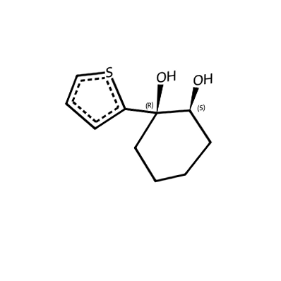 O[C@H]1CCCC[C@]1(O)c1cccs1